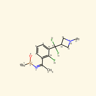 C/C(=N/[S+]([O-])C(C)(C)C)c1cccc(C(F)(F)C2CN(C(C)C)C2)c1F